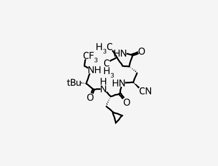 CC1(C)C[C@@H](C[C@@H](C#N)NC(=O)[C@H](CC2CC2)NC(=O)[C@@H](NCC(F)(F)F)C(C)(C)C)C(=O)N1